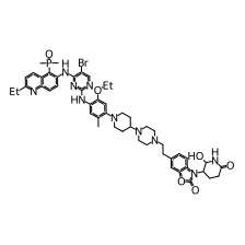 CCOc1cc(N2CCC(N3CCN(CCc4ccc5c(c4)oc(=O)n5C4CCC(=O)NC4O)CC3)CC2)c(C)cc1Nc1ncc(Br)c(Nc2ccc3nc(CC)ccc3c2P(C)(C)=O)n1